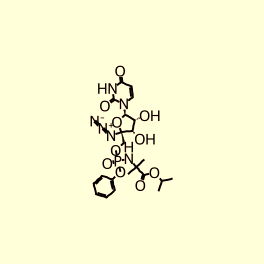 CC(C)OC(=O)C(C)(C)NP(=O)(OC[C@@]1(N=[N+]=[N-])O[C@@H](n2ccc(=O)[nH]c2=O)[C@H](O)[C@@H]1O)Oc1ccccc1